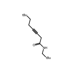 CC(C)(C)CCC#CCC(=O)NCC(C)(C)C